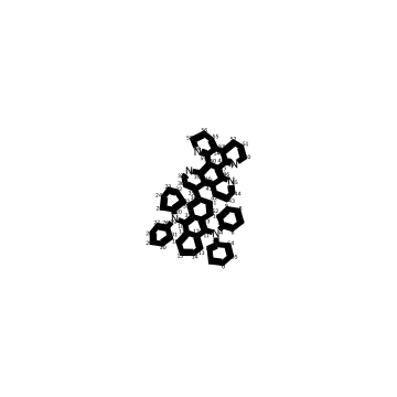 c1ccc(N(c2ccccc2)c2c3ccccc3c(N(c3ccccc3)c3ccccc3)c3cc(-c4ccnc5c4c4cccnc4c4c6ncccc6c6cccnc6c54)ccc23)cc1